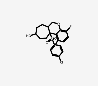 O=S(=O)(c1ccc(Cl)cc1)C12CCC(O)CCC1COc1c(F)ccc(F)c12